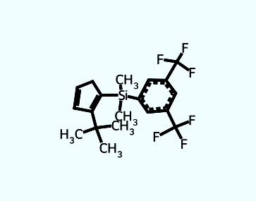 CC(C)(C)C1=C([Si](C)(C)c2cc(C(F)(F)F)cc(C(F)(F)F)c2)CC=C1